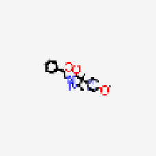 C/C=C(\C=C/COC)C1(C)C(=O)N(CC(=O)c2ccccc2)N=C1C